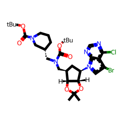 CC(C)(C)OC(=O)N1CCC[C@H](CN(C[C@H]2C[C@@H](n3cc(Br)c4c(Cl)ncnc43)[C@@H]3OC(C)(C)O[C@H]23)C(=O)OC(C)(C)C)C1